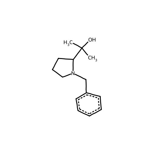 CC(C)(O)C1CCCN1Cc1ccccc1